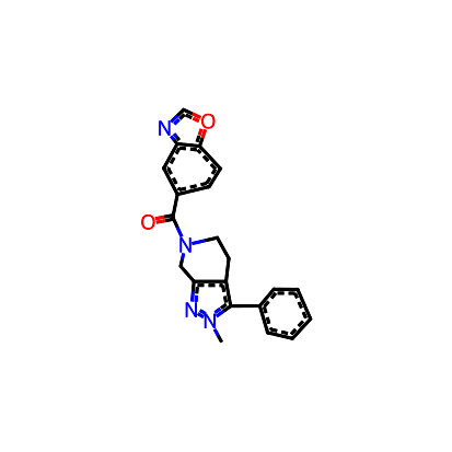 Cn1nc2c(c1-c1ccccc1)CCN(C(=O)c1ccc3ocnc3c1)C2